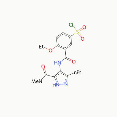 CCCc1n[nH]c(C(=O)NC)c1NC(=O)c1cc(S(=O)(=O)Cl)ccc1OCC